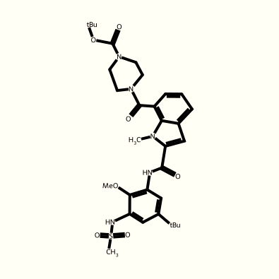 COc1c(NC(=O)c2cc3cccc(C(=O)N4CCN(C(=O)OC(C)(C)C)CC4)c3n2C)cc(C(C)(C)C)cc1NS(C)(=O)=O